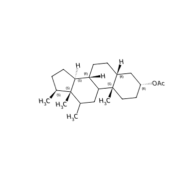 CC(=O)O[C@@H]1CC[C@]2(C)C3CC(C)[C@]4(C)[C@@H](C)CC[C@H]4[C@@H]3CC[C@@H]2C1